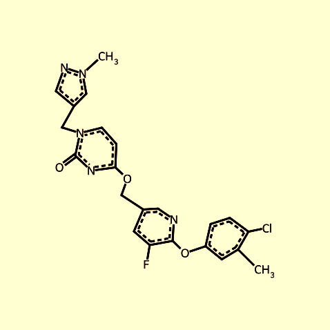 Cc1cc(Oc2ncc(COc3ccn(Cc4cnn(C)c4)c(=O)n3)cc2F)ccc1Cl